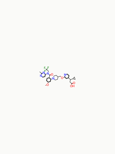 COc1ccc(C(=O)N(CC(F)(F)F)c2ccnc(C)n2)c(N2CCC(COc3cc(C(CC(=O)O)C4CC4)ccn3)CC2)c1